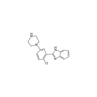 Clc1ccc(N2CCNCC2)cc1-c1nc2ccccc2[nH]1